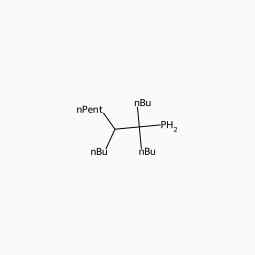 CCCCCC(CCCC)C(P)(CCCC)CCCC